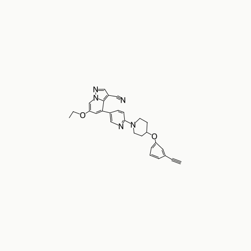 C#Cc1cccc(OC2CCN(c3ccc(-c4cc(OCC)cn5ncc(C#N)c45)cn3)CC2)c1